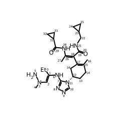 CC/C(=C\N(C)N)Nc1nncn1[C@H]1CCC(C)=C(/C(C(=O)NCC2CC2)=C(\C)NC(=O)C2CC2)C1